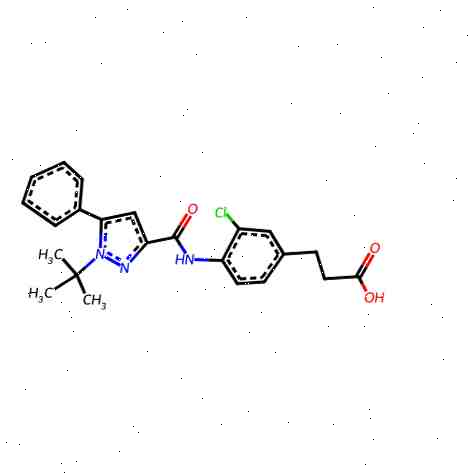 CC(C)(C)n1nc(C(=O)Nc2ccc(CCC(=O)O)cc2Cl)cc1-c1ccccc1